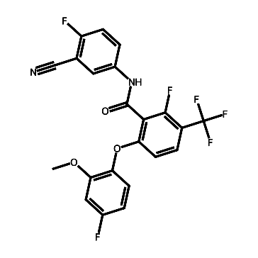 COc1cc(F)ccc1Oc1ccc(C(F)(F)F)c(F)c1C(=O)Nc1ccc(F)c(C#N)c1